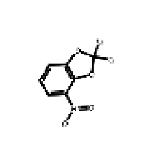 O=[N+]([O-])c1cccc2c1OC(Cl)(Cl)O2